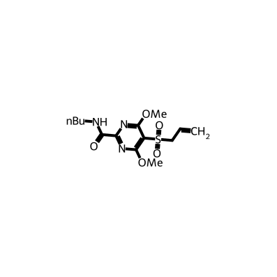 C=CCS(=O)(=O)c1c(OC)nc(C(=O)NCCCC)nc1OC